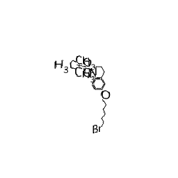 CC(C)(C)C(=O)ON1CCCc2cc(OCCCCCCBr)ccc21